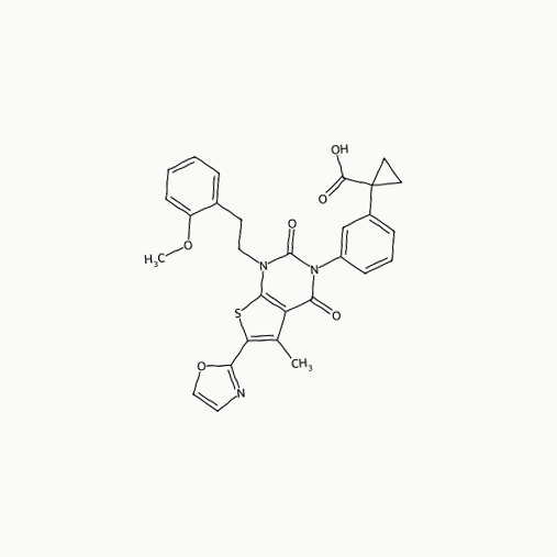 COc1ccccc1CCn1c(=O)n(-c2cccc(C3(C(=O)O)CC3)c2)c(=O)c2c(C)c(-c3ncco3)sc21